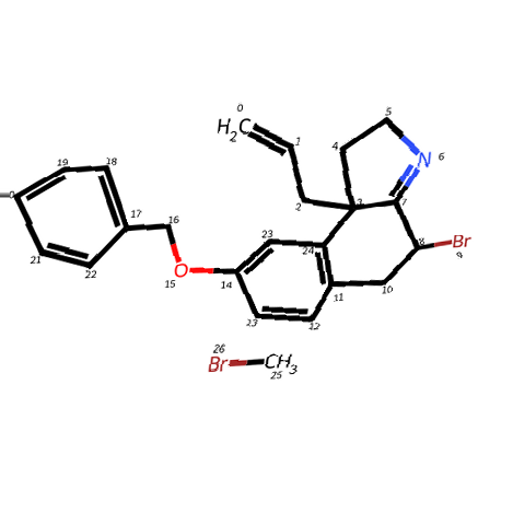 C=CCC12CCN=C1C(Br)Cc1ccc(OCc3ccccc3)cc12.CBr